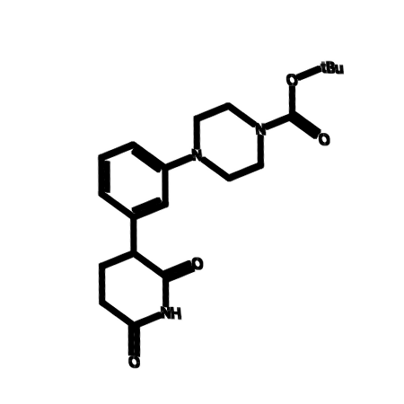 CC(C)(C)OC(=O)N1CCN(c2cccc(C3CCC(=O)NC3=O)c2)CC1